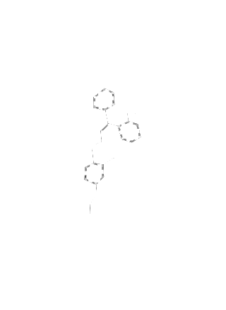 O=C(O)COc1ccc(SCC=C(c2ccccc2)c2ccccc2C(F)(F)F)c(I)c1